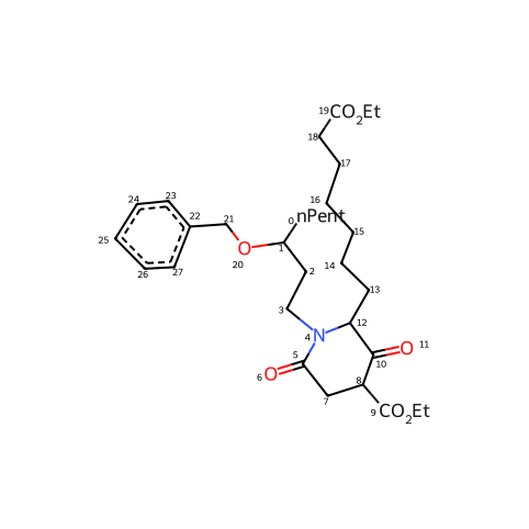 CCCCCC(CCN1C(=O)CC(C(=O)OCC)C(=O)C1CCCCCCC(=O)OCC)OCc1ccccc1